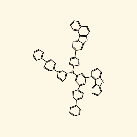 c1ccc(-c2ccc(-c3cccc(N(c4ccc(-c5ccc6c(c5)oc5ccc7ccccc7c56)cc4)c4cc(-c5ccc(-c6ccccc6)cc5)cc(-c5cccc6sc7ccccc7c56)c4)c3)cc2)cc1